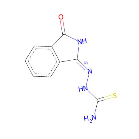 NC(=S)N/N=C1/NC(=O)c2ccccc21